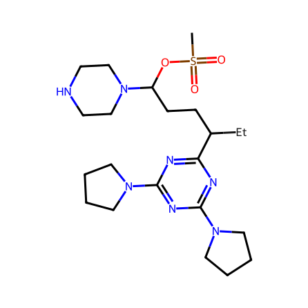 CCC(CCC(OS(C)(=O)=O)N1CCNCC1)c1nc(N2CCCC2)nc(N2CCCC2)n1